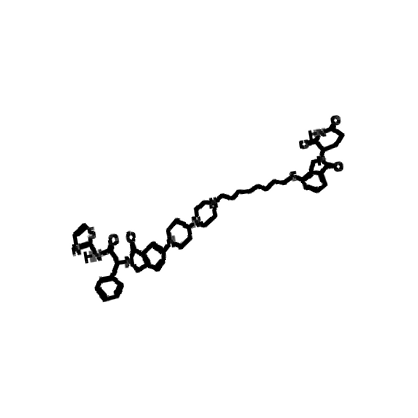 O=C1CCC(N2Cc3c(SCCCCCCCCN4CCN(C5CCN(c6ccc7c(c6)C(=O)N(C(C(=O)Nc6nccs6)c6ccccc6)C7)CC5)CC4)cccc3C2=O)C(=O)N1